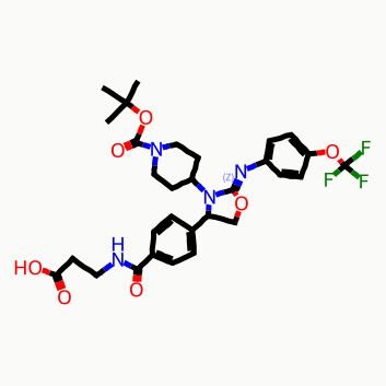 CC(C)(C)OC(=O)N1CCC(N2/C(=N/c3ccc(OC(F)(F)F)cc3)OCC2c2ccc(C(=O)NCCC(=O)O)cc2)CC1